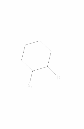 CC(=O)C1CCCCC1Br